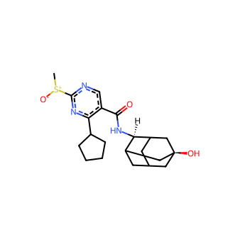 C[S+]([O-])c1ncc(C(=O)N[C@H]2C3CC4CC2C[C@@](O)(C4)C3)c(C2CCCC2)n1